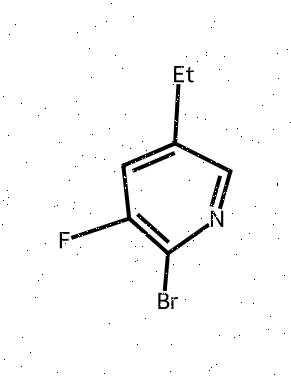 CCc1cnc(Br)c(F)c1